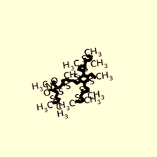 Cc1cc(C)c(-c2sc(-c3c4cc(-c5sc(-c6sc(-c7cc(C)c(C)s7)c7c6C(=O)N(C)C7=O)cc5C)sc4c(-c4cc(C)c(-c5sc(C)cc5C)s4)c4cc(C)sc34)cc2C)s1